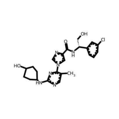 Cc1cnc(NC2CCC(O)CC2)nc1-n1cnc(C(=O)N[C@H](CO)c2cccc(Cl)c2)c1